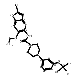 CCOc1nc2oc(Cl)cc2nc1NC(=O)N1CCN(c2cccc(OC(F)(F)F)c2)CC1